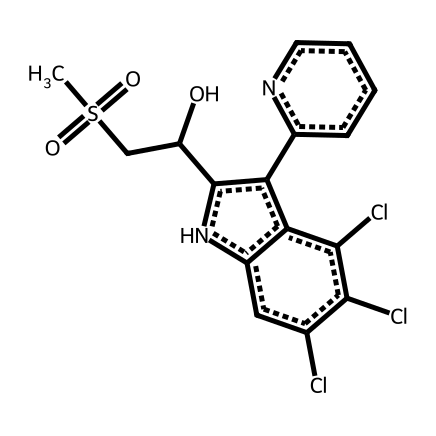 CS(=O)(=O)CC(O)c1[nH]c2cc(Cl)c(Cl)c(Cl)c2c1-c1ccccn1